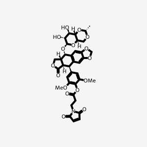 COc1cc([C@@H]2c3cc4c(cc3[C@@H](O[C@@H]3O[C@@H]5CO[C@@H](C)O[C@H]5[C@H](O)[C@H]3O)[C@H]3COC(=O)[C@H]23)OCO4)cc(OC)c1OC(=O)CCN1C(=O)C=CC1=O